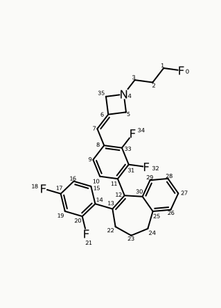 FCCCN1CC(=Cc2ccc(C3=C(c4ccc(F)cc4F)CCCc4ccccc43)c(F)c2F)C1